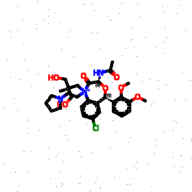 COc1cccc([C@H]2O[C@@H](NC(C)=O)C(=O)[N+](CCN3CCCC3)(CC(C)(CO)CO)c3ccc(Cl)cc32)c1OC